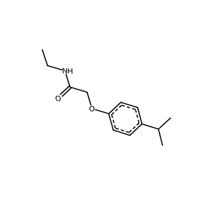 CCNC(=O)COc1ccc(C(C)C)cc1